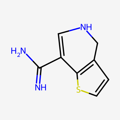 N=C(N)C1=CNCc2ccsc21